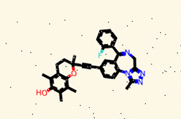 Cc1c(C)c2c(c(C)c1O)CCC(C)(C#Cc1ccc3c(c1)C(c1ccccc1F)=NCc1nnc(C)n1-3)O2